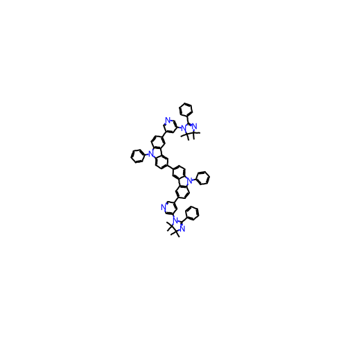 CC1(C)N=C(c2ccccc2)N(c2cncc(-c3ccc4c(c3)c3cc(-c5ccc6c(c5)c5cc(-c7cncc(N8C(c9ccccc9)=NC(C)(C)C8(C)C)c7)ccc5n6-c5ccccc5)ccc3n4-c3ccccc3)c2)C1(C)C